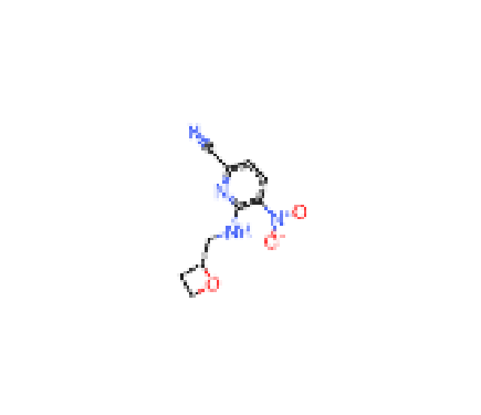 N#Cc1ccc([N+](=O)[O-])c(NCC2CCO2)n1